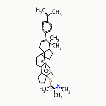 C=N/C(C)=C(/C)SC12CCCC1C1CCC3C45CC=C(c6ccc(C(=C)C)cc6)C(C)(C)C4CCC35[C@]1(C)CC2